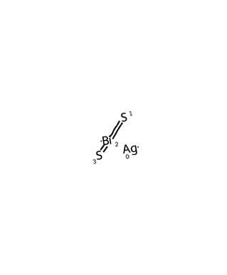 [Ag].[S]=[Bi]=[S]